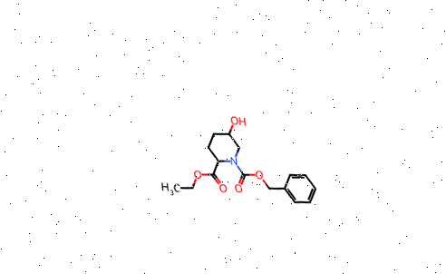 CCOC(=O)C1CCC(O)CN1C(=O)OCc1ccccc1